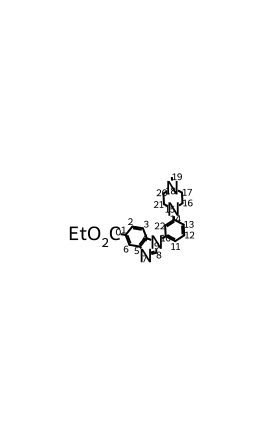 CCOC(=O)c1ccc2c(c1)ncn2-c1cccc(N2CCN(C)CC2)c1